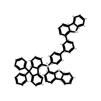 c1ccc(C2(c3ccccc3)c3ccccc3-c3c(N(c4ccc(-c5cccc(-c6cccc7c6sc6ccccc67)c5)cc4)c4cccc5c4sc4ccccc45)cccc32)cc1